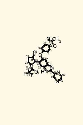 CS(=O)(=O)c1ccc(Oc2cc3nc(-c4cnccn4)[nH]c3cc2C2C(=O)CCN2C(=O)C(F)(F)F)cc1